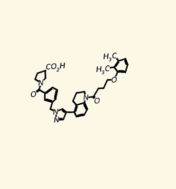 Cc1cccc(OCCCC(=O)N2CCCc3c(-c4cnn(Cc5cccc(C(=O)N6CCC(C(=O)O)C6)c5)c4)cccc32)c1C